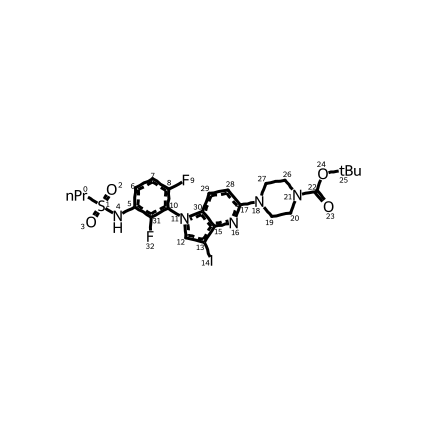 CCCS(=O)(=O)Nc1ccc(F)c(-n2cc(I)c3nc(N4CCN(C(=O)OC(C)(C)C)CC4)ccc32)c1F